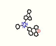 c1ccc(-c2nc(-c3cc(-c4cccc5oc6ccccc6c45)c4ccccc4c3)nc(-c3ccc4c5c(cccc35)-c3ccccc3-4)n2)cc1